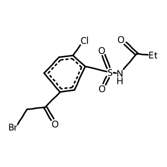 CCC(=O)NS(=O)(=O)c1cc(C(=O)CBr)ccc1Cl